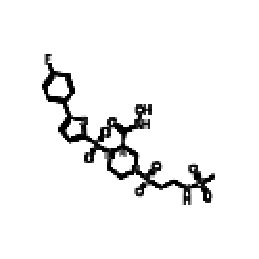 CS(=O)(=O)NCCS(=O)(=O)N1CCN(S(=O)(=O)c2ccc(-c3ccc(F)cc3)s2)[C@@H](C(=O)NO)C1